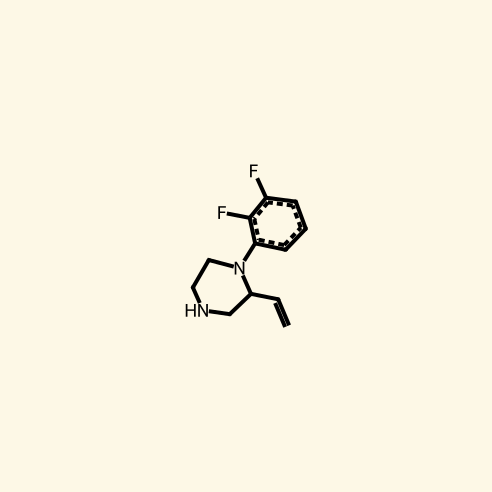 C=CC1CNCCN1c1cccc(F)c1F